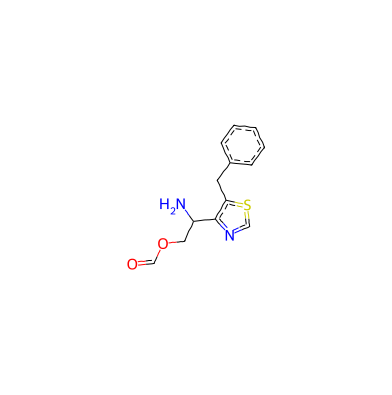 NC(COC=O)c1ncsc1Cc1ccccc1